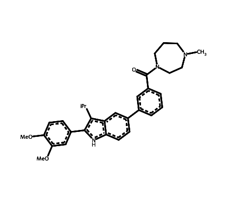 COc1ccc(-c2[nH]c3ccc(-c4cccc(C(=O)N5CCCN(C)CC5)c4)cc3c2C(C)C)cc1OC